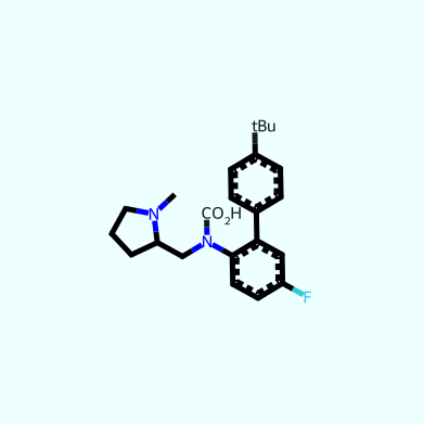 CN1CCCC1CN(C(=O)O)c1ccc(F)cc1-c1ccc(C(C)(C)C)cc1